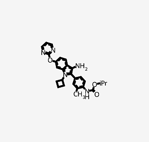 Cc1cc(-c2c(N)c3ccc(Oc4ncccn4)cc3n2C2CCC2)ccc1NC(=O)OC(C)C